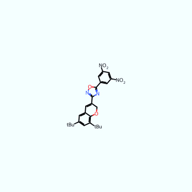 CC(C)(C)c1cc2c(c(C(C)(C)C)c1)OCC(c1noc(-c3cc([N+](=O)[O-])cc([N+](=O)[O-])c3)n1)=C2